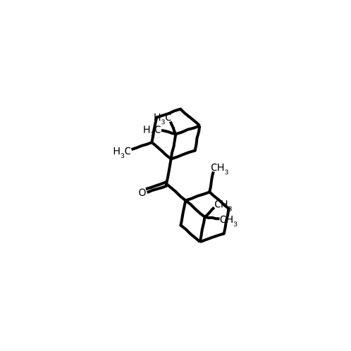 CC1CCC2CC1(C(=O)C13CC(CCC1C)C3(C)C)C2(C)C